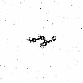 COC(=O)Cc1ccc(C#Cc2cc(-c3nn(CCCN4CCOCC4)c4c3CN(S(C)(=O)=O)CC4)ccc2Cl)cc1